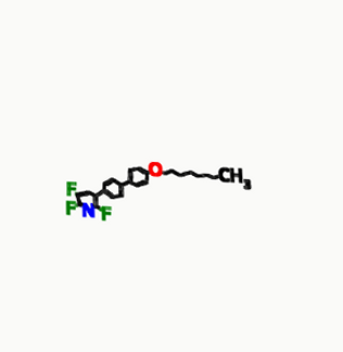 CCCCCCCCOc1ccc(-c2ccc(-c3cc(F)c(F)nc3F)cc2)cc1